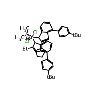 CCC1=Cc2c(-c3ccc(C(C)(C)C)cc3)cccc2[CH]1[Zr]([Cl])([Cl])([CH]1C(C2CCCC2)=Cc2c(-c3ccc(C(C)(C)C)cc3)cccc21)[SiH](C)C